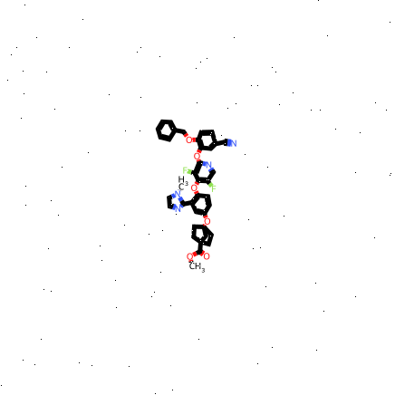 COC(=O)C12CCC(Oc3ccc(Oc4c(F)cnc(Oc5cc(C#N)ccc5OCc5ccccc5)c4F)c(C4N=CCN4C)c3)(CC1)C2